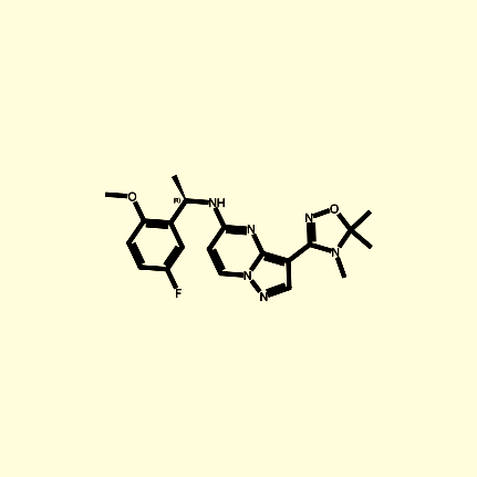 COc1ccc(F)cc1[C@@H](C)Nc1ccn2ncc(C3=NOC(C)(C)N3C)c2n1